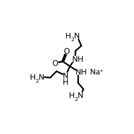 NCCNC(NCCN)(NCCN)C(=O)[O-].[Na+]